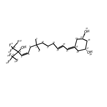 CC(C)(C/C=C\C(O)(C(F)(F)F)C(F)(F)F)CCC/C=C/C=C1C[C@@H](O)C[C@H](O)C1